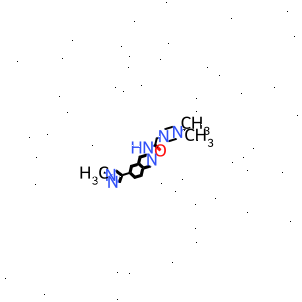 CC(C)N1CCN(CC(=O)Nc2cc3cc(-c4cnn(C)c4)ccc3cn2)CC1